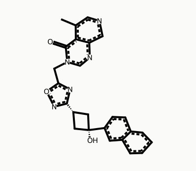 Cc1cncc2ncn(Cc3nc([C@H]4C[C@](O)(c5ccc6ccccc6c5)C4)no3)c(=O)c12